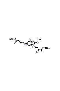 CC#CCC(C)C(=O)/C=C/[C@@H]1[C@H]2C/C(=C/CCCC(=O)OC)C[C@H]2C[C@H]1OPI